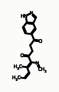 C=N/C(C(=O)CCC(=O)c1ccc2[nH]ncc2c1)=C(C)\C=C/C